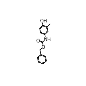 Cc1cc(NC(=O)OCc2ccccc2)ccc1O